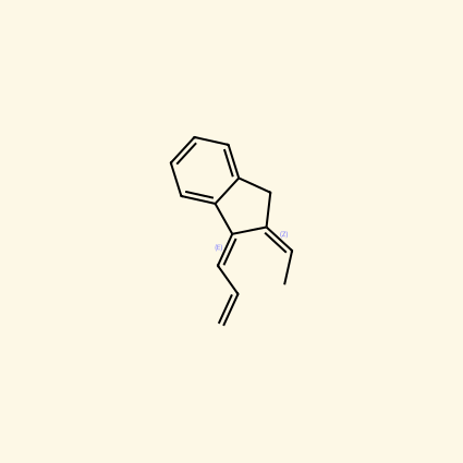 C=C/C=C1\C(=C/C)Cc2ccccc21